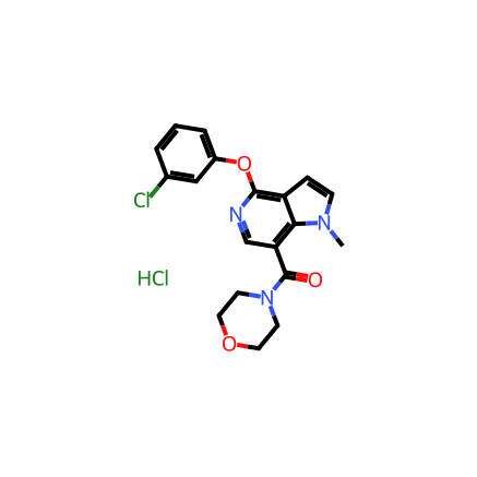 Cl.Cn1ccc2c(Oc3cccc(Cl)c3)ncc(C(=O)N3CCOCC3)c21